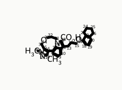 Cc1nn(C)c2c1-c1cccc3c(CCCOc4cccc5c4CCCC5)c(C(=O)O)n(c13)CCCOC2